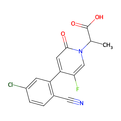 CC(C(=O)O)n1cc(F)c(-c2cc(Cl)ccc2C#N)cc1=O